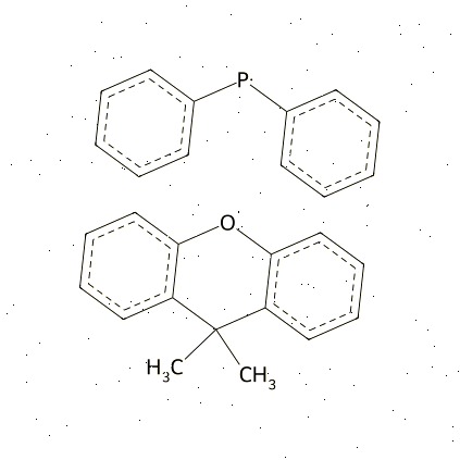 CC1(C)c2ccccc2Oc2ccccc21.c1ccc([P]c2ccccc2)cc1